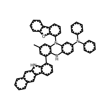 Cc1cc(-c2cccc3c2[nH]c2cc4ccccc4cc23)c2c(c1)N(c1cccc3c1oc1ccccc13)c1cc(N(c3ccccc3)c3ccccc3)ccc1B2